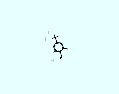 C=Cc1c(C)cc(C(C)(C)C)cc1C